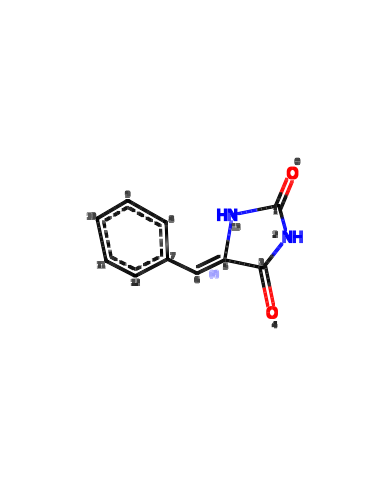 O=C1NC(=O)/C(=C/c2ccccc2)N1